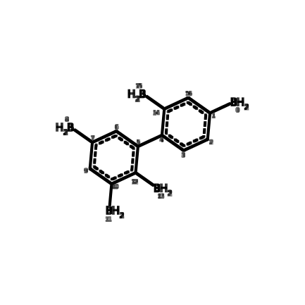 Bc1ccc(-c2cc(B)cc(B)c2B)c(B)c1